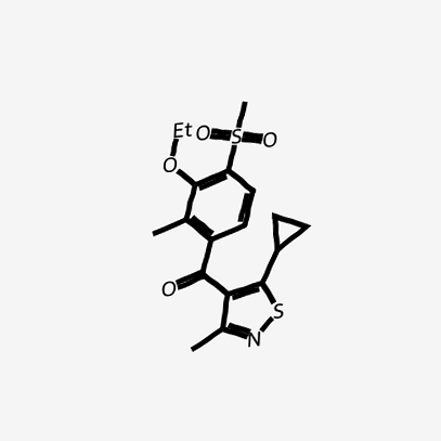 CCOc1c(S(C)(=O)=O)ccc(C(=O)c2c(C)nsc2C2CC2)c1C